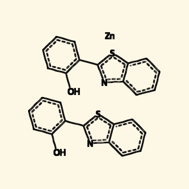 Oc1ccccc1-c1nc2ccccc2s1.Oc1ccccc1-c1nc2ccccc2s1.[Zn]